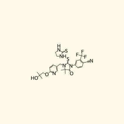 CC(C)(O)COc1ccc(CN2C(=S)N(c3ccc(C#N)c(C(F)(F)F)c3)C(=O)C2(C)C)cn1.S=C1NCCN1